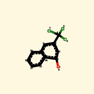 [O]c1cc(C(Cl)(Cl)Cl)cc2ccccc12